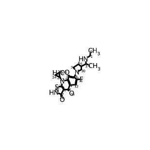 CCNC(C)C1CCN(c2c(F)cc3c(=O)c4c(=O)[nH]sc4n(C4CC4)c3c2OC)C1